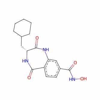 O=C(NO)c1ccc2c(c1)NC(=O)[C@@H](CC1CCCCC1)NC2=O